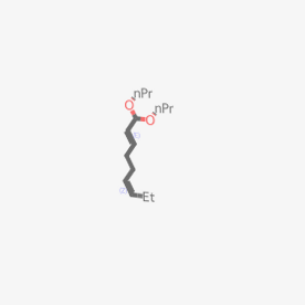 CC/C=C\CC/C=C/C(OCCC)OCCC